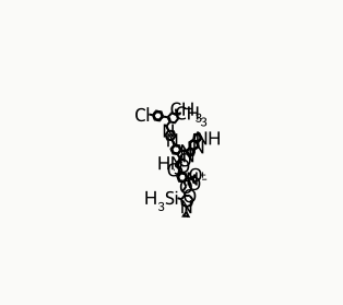 CC1(C)CCC(CN2CCN(c3ccc(C(=O)NS(=O)(=O)c4ccc(OC[C@H]5OCCN(C6CC6)CC5[SiH3])c([N+](=O)[O-])c4)c(-n4ncc5nc6[nH]ccc6cc54)c3)CC2)=C(c2ccc(Cl)cc2)C1